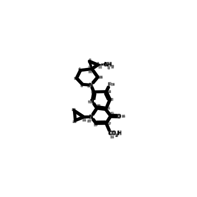 N[C@H]1C[C@@]12CCCN(c1nc3c(cc1F)c(=O)c(C(=O)O)cn3C1CC1)C2